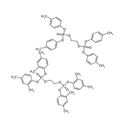 Cc1ccc(OP(=O)(OCCOP(=O)(Oc2ccc(C)cc2)Oc2ccc(C)cc2)Oc2ccc(C)cc2)cc1.Cc1ccc(OP(=O)(OCCOP(=O)(Oc2ccc(C)cc2C)Oc2ccc(C)cc2C)Oc2ccc(C)cc2C)c(C)c1